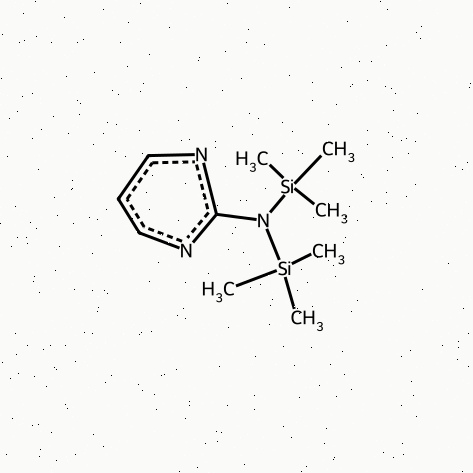 C[Si](C)(C)N(c1ncccn1)[Si](C)(C)C